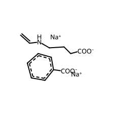 C=CNCCCC(=O)[O-].O=C([O-])c1ccccc1.[Na+].[Na+]